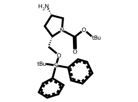 CC(C)(C)OC(=O)N1C[C@@H](N)C[C@H]1CO[Si](c1ccccc1)(c1ccccc1)C(C)(C)C